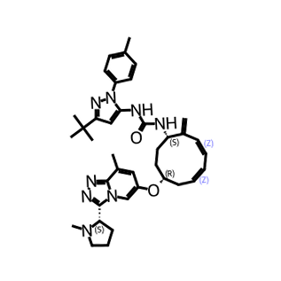 C=C1/C=C\C=C/C[C@H](Oc2cc(C)c3nnc([C@@H]4CCCN4C)n3c2)CC[C@@H]1NC(=O)Nc1cc(C(C)(C)C)nn1-c1ccc(C)cc1